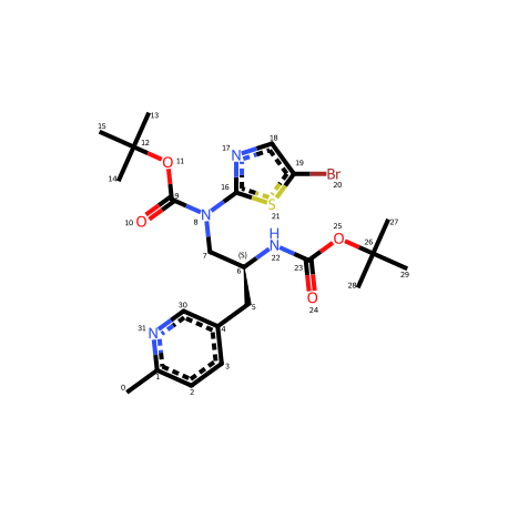 Cc1ccc(C[C@@H](CN(C(=O)OC(C)(C)C)c2ncc(Br)s2)NC(=O)OC(C)(C)C)cn1